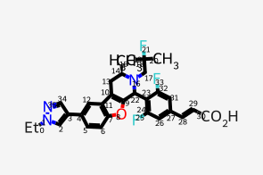 CCn1cc(-c2ccc3oc4c(c3c2)C[C@@H](C)N(CC(C)(C)F)C4c2c(F)cc(/C=C/C(=O)O)cc2F)cn1